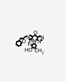 [CH2][C@@H]1C[C@@H](Nc2ncncc2C(=O)c2ccn(Cc3cc4ccccc4o3)c2)[C@@H](F)[C@@H]1O